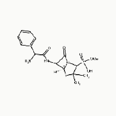 COP(=O)(O)C1N2C(=O)C(NC(=O)C(N)c3ccccc3)[C@@H]2SC1(C)C